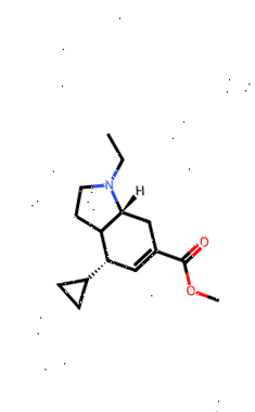 CCN1CCC2[C@@H](C3CC3)C=C(C(=O)OC)C[C@H]21